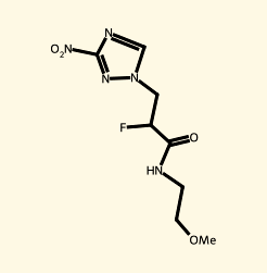 COCCNC(=O)C(F)Cn1cnc([N+](=O)[O-])n1